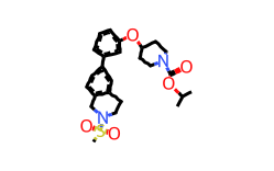 CC(C)OC(=O)N1CCC(Oc2cccc(-c3ccc4c(c3)CCN(S(C)(=O)=O)C4)c2)CC1